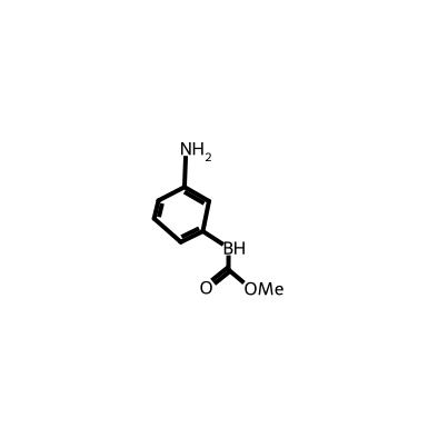 COC(=O)Bc1cccc(N)c1